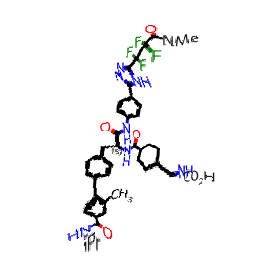 CNC(=O)C(F)(F)C(F)(F)c1nnc(-c2ccc(NC(=O)[C@H](Cc3ccc(-c4ccc(C(=O)NC(C)C)cc4C)cc3)NC(=O)C3CCC(CNC(=O)O)CC3)cc2)[nH]1